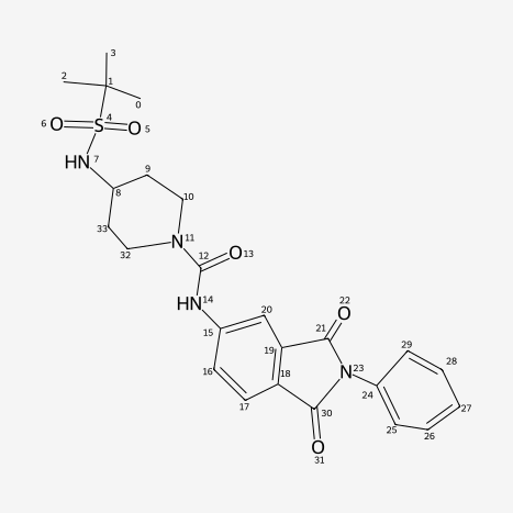 CC(C)(C)S(=O)(=O)NC1CCN(C(=O)Nc2ccc3c(c2)C(=O)N(c2ccccc2)C3=O)CC1